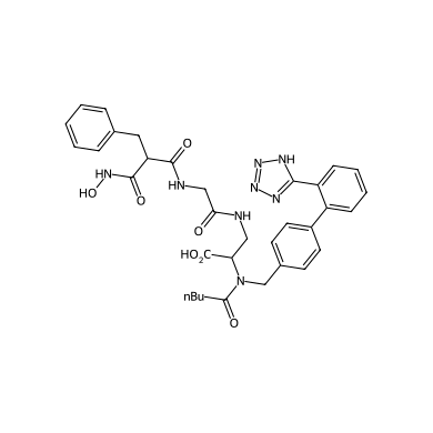 CCCCC(=O)N(Cc1ccc(-c2ccccc2-c2nnn[nH]2)cc1)C(CNC(=O)CNC(=O)C(Cc1ccccc1)C(=O)NO)C(=O)O